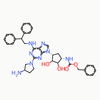 N[C@@H]1CCN(c2nc(NCC(c3ccccc3)c3ccccc3)c3ncn([C@@H]4C[C@H](NC(=O)OCc5ccccc5)[C@@H](O)[C@H]4O)c3n2)C1